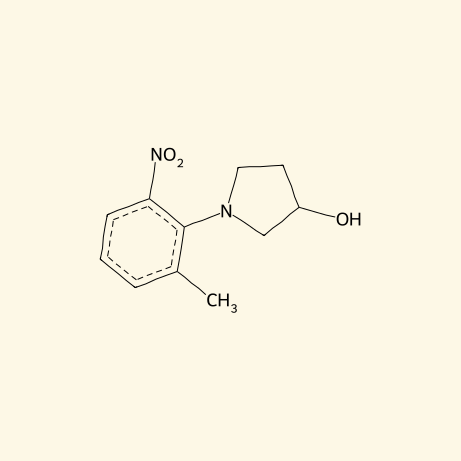 Cc1cccc([N+](=O)[O-])c1N1CCC(O)C1